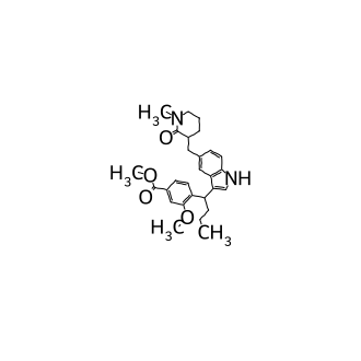 CCCC(c1ccc(C(=O)OC)cc1OC)c1c[nH]c2ccc(CC3CCCN(C)C3=O)cc12